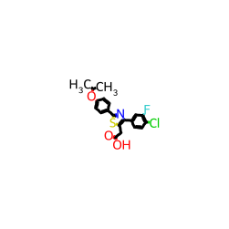 CC(C)Oc1ccc(-c2nc(-c3ccc(Cl)c(F)c3)c(CC(=O)O)s2)cc1